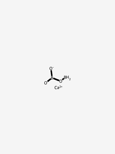 BOB([O-])[O-].[Ca+2]